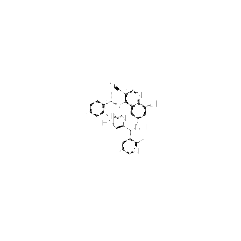 Cc1ncccc1[C@H](Nc1cc(Cl)c2ncc(C#N)c(N[C@H](C)c3ccccc3)c2c1)C1=CNNN1